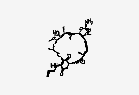 C=CCNC1=C2C[C@@H](C)C[C@H](OC)[C@H](O)[C@@H](C)/C=C(\C)[C@H](OC(N)=O)[C@@H](OC)/C=C\C=C(/C)C(=O)NC(CC1=O)C2=O